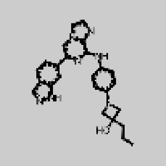 CCCC1(O)CN(c2ccc(Nc3nc(-c4ccc5cn[nH]c5c4)cn4ccnc34)cc2)C1